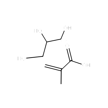 C=C(C)C(=O)O.OCC(O)CO